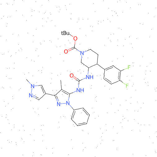 Cc1c(-c2cnn(C)c2)nn(-c2ccccc2)c1NC(=O)NC1CN(C(=O)OC(C)(C)C)CCC1c1ccc(F)c(F)c1